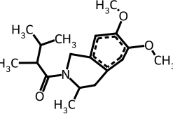 COc1cc2c(cc1OC)CN(C(=O)C(C)C(C)C)C(C)C2